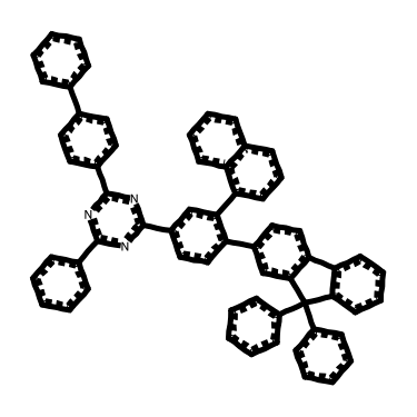 c1ccc(-c2ccc(-c3nc(-c4ccccc4)nc(-c4ccc(-c5ccc6c(c5)C(c5ccccc5)(c5ccccc5)c5ccccc5-6)c(-c5cccc6ccccc56)c4)n3)cc2)cc1